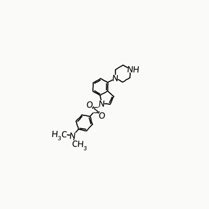 CN(C)c1ccc(S(=O)(=O)n2ccc3c(N4CCNCC4)cccc32)cc1